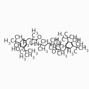 CC(C)(CCC(C)(C)NC(=O)C(C)(C)Cc1cc(C(C)(C)C)c(O)c(C(C)(C)C)c1)NC(=O)C(C)(C)Cc1cc(C(C)(C)C)c(O)c(C(C)(C)C)c1